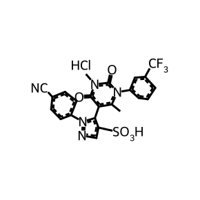 Cc1c(-c2c(S(=O)(=O)O)cnn2-c2ccc(C#N)cc2)c(=O)n(C)c(=O)n1-c1cccc(C(F)(F)F)c1.Cl